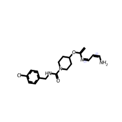 C=C(/N=C\C=C/N)OC1CCN(C(=O)NCc2ccc(Cl)cc2)CC1